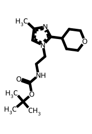 Cc1cn(CCNC(=O)OC(C)(C)C)c(C2CCOCC2)n1